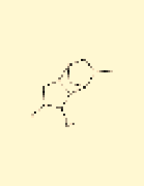 CC1CC2CC1C1C(O)C(I)CC21